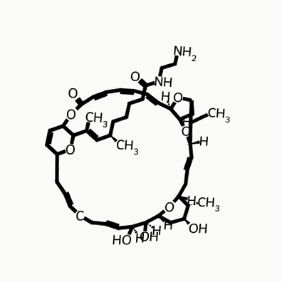 C/C(=C\[C@H](C)CCCCC(=O)NCCN)C1OC2C=CC1OC(=O)\C=C/C=C\C=C\[C@H]1OC3C[C@@H]1O[C@@H](/C=C/C[C@H]1O[C@H](C[C@H](O)[C@H]1C)[C@@H](O)[C@@H](O)/C=C/CC/C=C/C2)C3C